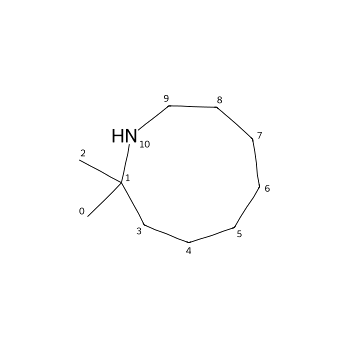 CC1(C)CCCCCCCN1